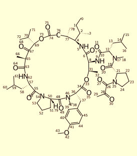 CC[C@H](C)[C@H]1NC(=O)[C@@H](NC(=O)[C@H](CC(C)C)N(C)C(=O)[C@@H]2CCCN2C(=O)C(C)=O)[C@@H](C)OC(=O)[C@H](Cc2ccc(OC)cc2)N(C)C(=O)[C@@H]2CCCN2C(=O)[C@H](CC(C)C)NC(=O)[C@@H](C)C(=O)[C@H](C(C)C)OC(=O)C[C@@H]1C